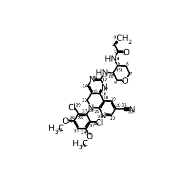 C=CC(=O)N[C@H]1CCOC[C@H]1Nc1ncc2c(n1)-c1cc(C#N)cnc1N(c1c(Cl)c(OC)cc(OC)c1Cl)C2